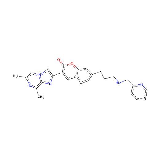 Cc1cn2cc(-c3cc4ccc(CCCNCc5ccccn5)cc4oc3=O)nc2c(C)n1